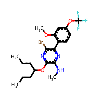 CCCC(CCC)Oc1nc(Br)c(-c2ccc(OC(F)(F)F)cc2OC)nc1NC